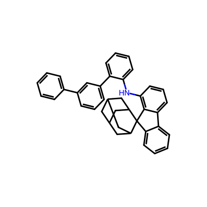 c1ccc(-c2cccc(-c3ccccc3Nc3cccc4c3C3(c5ccccc5-4)C4CC5CC(C4)CC3C5)c2)cc1